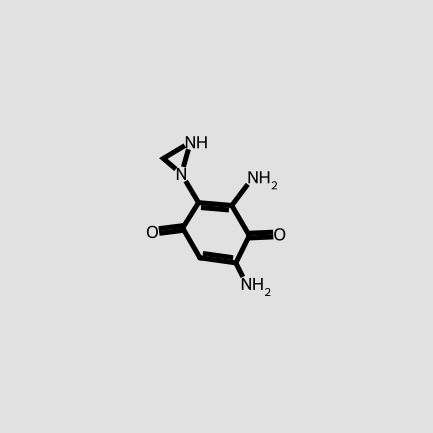 NC1=CC(=O)C(N2CN2)=C(N)C1=O